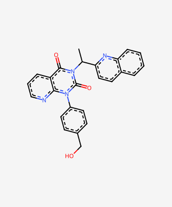 CC(c1ccc2ccccc2n1)n1c(=O)c2cccnc2n(-c2ccc(CO)cc2)c1=O